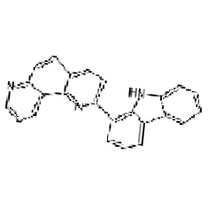 c1ccc2c(c1)[nH]c1c(-c3ccc4ccc5ncccc5c4n3)cccc12